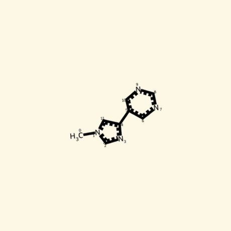 Cn1[c]nc(-c2cncnc2)c1